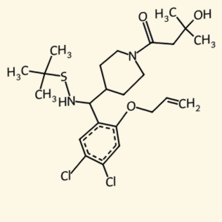 C=CCOc1cc(Cl)c(Cl)cc1C(NSC(C)(C)C)C1CCN(C(=O)CC(C)(C)O)CC1